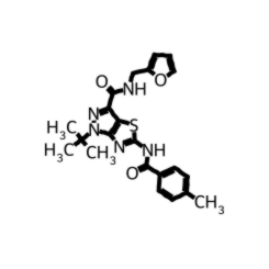 Cc1ccc(C(=O)Nc2nc3c(s2)c(C(=O)NCc2ccco2)nn3C(C)(C)C)cc1